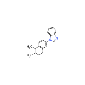 CC1CCc2cc(-n3cnc4ccccc43)ccc2C1C